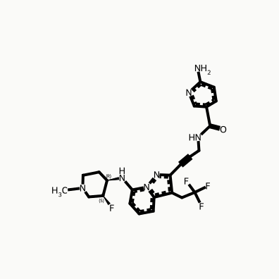 CN1CC[C@@H](Nc2cccc3c(CC(F)(F)F)c(C#CCNC(=O)c4ccc(N)nc4)nn23)[C@@H](F)C1